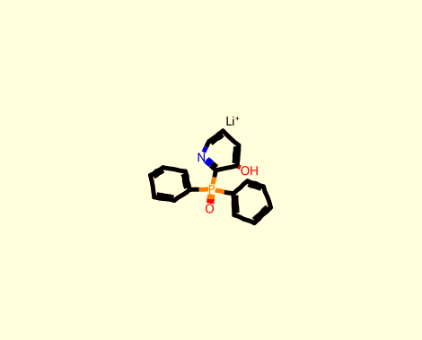 O=P(c1ccccc1)(c1ccccc1)c1ncccc1O.[Li+]